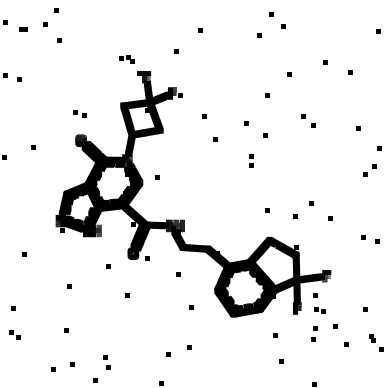 O=C(NCCc1cccc2c1CCC2(F)F)c1cn(C2CC(F)(F)C2)c(=O)c2cn[nH]c12